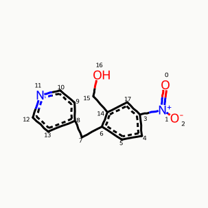 O=[N+]([O-])c1ccc(Cc2ccncc2)c(CO)c1